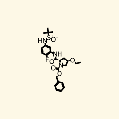 CCO[C@@H]1C[C@H](C(=O)Nc2cc(N[S+]([O-])C(C)(C)C)ccc2F)N(C(=O)OCc2ccccc2)C1